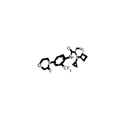 NC[C@H](C(=O)Nc1ccc(N2CCOCC2=O)cc1C(F)(F)F)N(C1CCC1)C1CC1